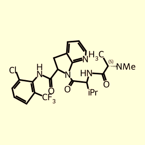 CN[C@@H](C)C(=O)NC(C(=O)N1c2ncccc2CC1C(=O)Nc1c(Cl)cccc1C(F)(F)F)C(C)C